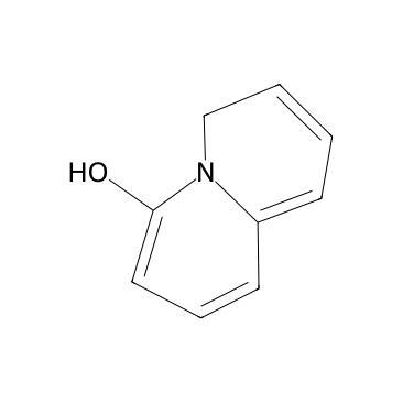 OC1=CC=CC2=CC=CCN12